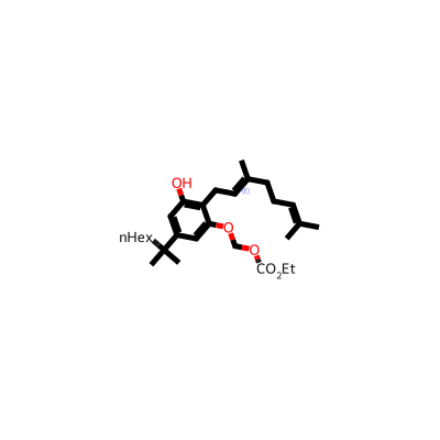 CCCCCCC(C)(C)c1cc(O)c(C/C=C(\C)CCC=C(C)C)c(OCOC(=O)OCC)c1